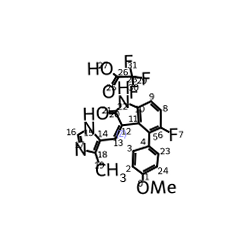 COc1ccc(-c2c(F)ccc3c2/C(=C/c2[nH]cnc2C)C(=O)N3)cc1.O=C(O)C(F)(F)F